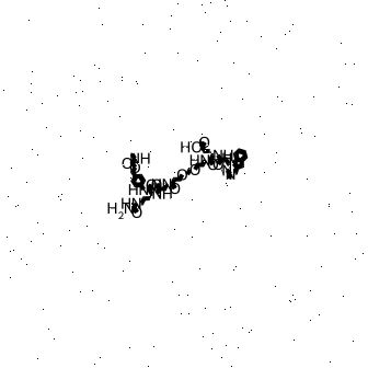 CNC(=O)OCc1ccc(NC(=O)[C@H](CCCNC(N)=O)NC(=O)CNC(=O)CCOCCOCCNC(=O)[C@H](CCC(=O)O)NC(=O)CCn2c(CN(C)NC)cc3ccccc32)cc1